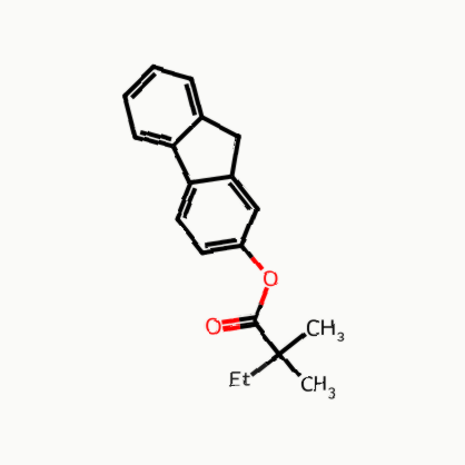 CCC(C)(C)C(=O)Oc1ccc2c(c1)Cc1ccccc1-2